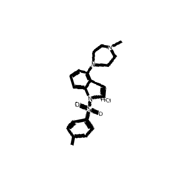 Cc1ccc(S(=O)(=O)n2ccc3c(N4CCN(C)CC4)cccc32)cc1.Cl